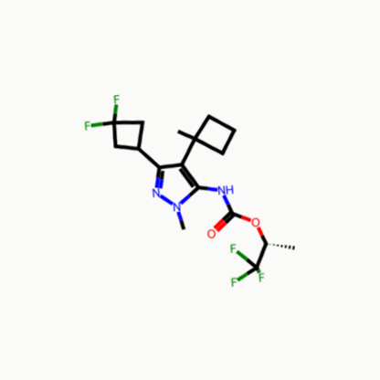 C[C@@H](OC(=O)Nc1c(C2(C)CCC2)c(C2CC(F)(F)C2)nn1C)C(F)(F)F